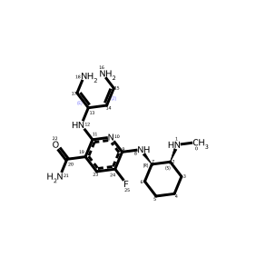 CN[C@H]1CCCC[C@H]1Nc1nc(NC(/C=C\N)=C/N)c(C(N)=O)cc1F